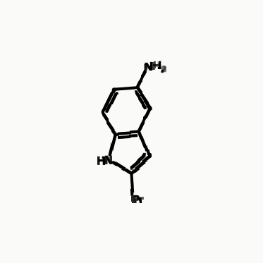 CC(C)c1cc2cc(N)ccc2[nH]1